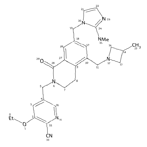 CCOc1cc(CN2CCc3c(CN4CC(C)C4)cc(Cn4ccnc4NC)cc3C2=O)cnc1C#N